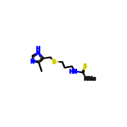 CNC(=S)NCCCSCc1[nH]cnc1C